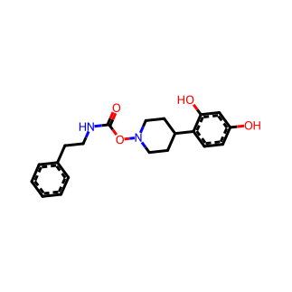 O=C(NCCc1ccccc1)ON1CCC(c2ccc(O)cc2O)CC1